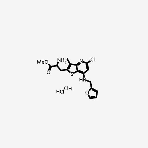 COC(=O)C(N)Cc1sc2c(NCc3ccco3)cc(Cl)nc2c1C.Cl.Cl